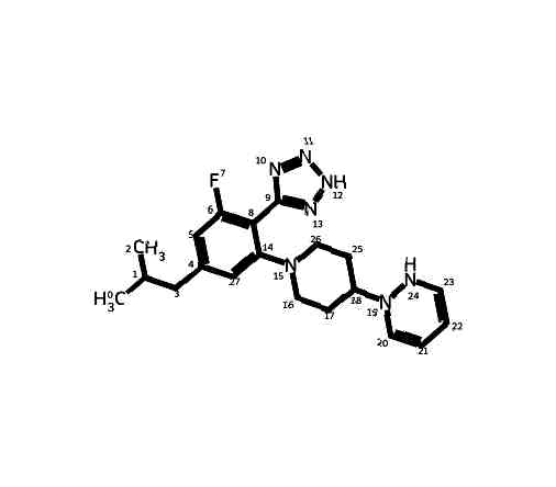 CC(C)Cc1cc(F)c(-c2nn[nH]n2)c(N2CCC(N3C=CC=CN3)CC2)c1